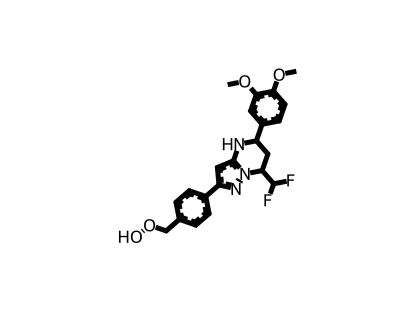 COc1ccc(C2CC(C(F)F)n3nc(-c4ccc(COO)cc4)cc3N2)cc1OC